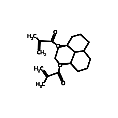 C=C(C)C(=O)OC12CCCC3CCCC(OC(=O)C(=C)C)(CCC1)C32